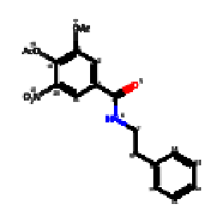 CC(=O)Oc1cc(C(=O)NCCc2ccccc2)cc([N+](=O)[O-])c1OC(C)=O